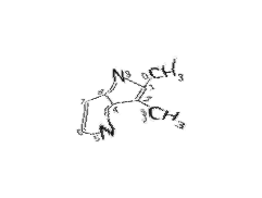 CC1=C(C)C2=NC=CC2=N1